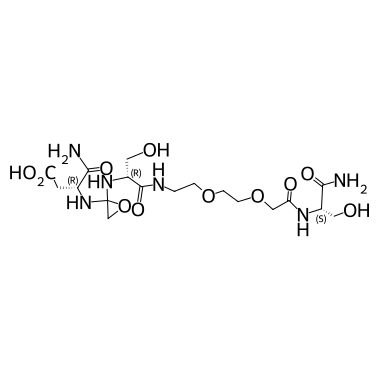 NC(=O)[C@H](CO)NC(=O)COCCOCCNC(=O)[C@@H](CO)NC1(N[C@H](CC(=O)O)C(N)=O)CO1